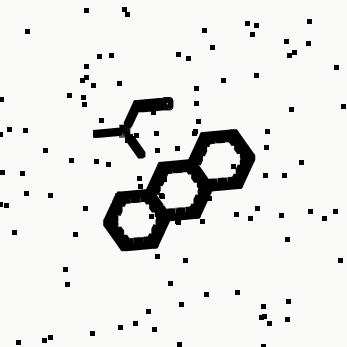 CN(C)C=O.c1ccc2cc3ccccc3cc2c1